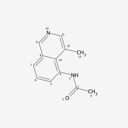 CC(=O)Nc1cccc2cncc(C)c12